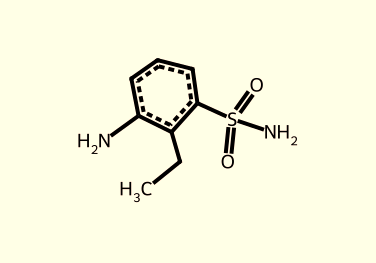 CCc1c(N)cccc1S(N)(=O)=O